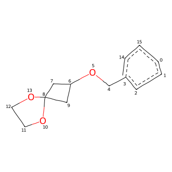 c1ccc(COC2CC3(C2)OCCO3)cc1